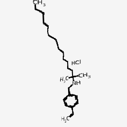 C=Cc1ccc(CNC(C)(C)CCCCCCCCCCCCC)cc1.Cl